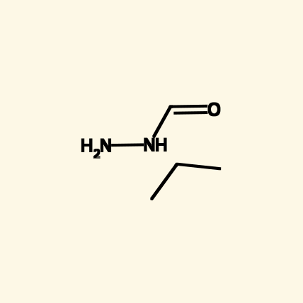 CCC.NNC=O